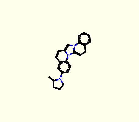 CC1CCCN1c1ccc2c(c1)C=CC1=CN3C(=CCc4ccccc43)N12